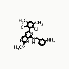 CSc1ncc2cc(-c3c(Cl)c(C)cc(C)c3Cl)nc(NCc3cccc(N)c3)c2n1